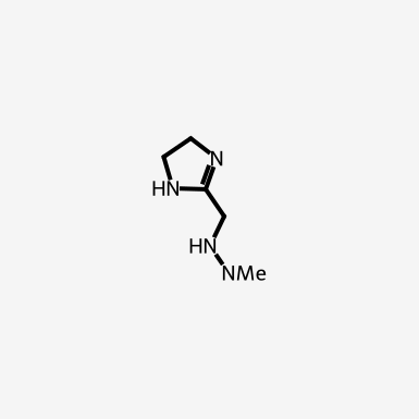 CNNCC1=NCCN1